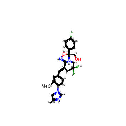 COc1cc(/C=C2\CC(F)(F)CN3C2=NO[C@]3(CO)c2ccc(F)cc2)ccc1-n1cnc(C)c1